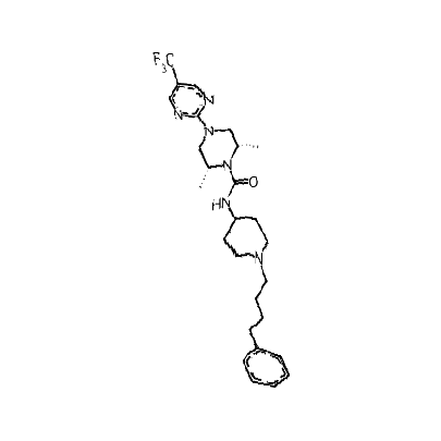 C[C@@H]1CN(c2ncc(C(F)(F)F)cn2)C[C@H](C)N1C(=O)NC1CCN(CCCCc2ccccc2)CC1